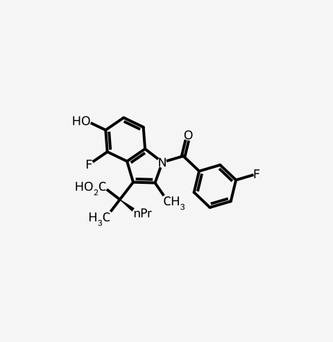 CCC[C@@](C)(C(=O)O)c1c(C)n(C(=O)c2cccc(F)c2)c2ccc(O)c(F)c12